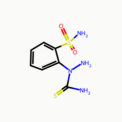 NC(=S)N(N)c1ccccc1S(N)(=O)=O